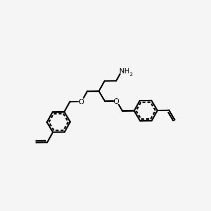 C=Cc1ccc(COCC(CCN)COCc2ccc(C=C)cc2)cc1